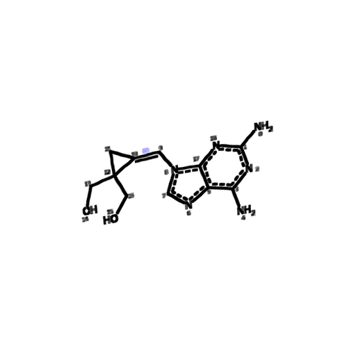 Nc1nc(N)c2ncn(/C=C3/CC3(CO)CO)c2n1